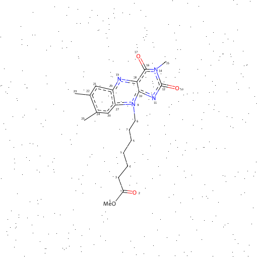 COC(=O)CCCCCCn1c2nc(=O)n(C)c(=O)c-2nc2cc(C)c(C)cc21